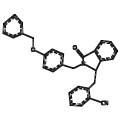 N#Cc1ccccc1CC1c2ccccc2C(=O)N1Cc1ccc(OCc2ccccc2)cc1